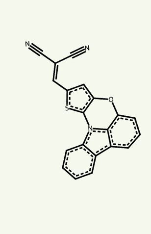 N#CC(C#N)=Cc1cc2c(s1)-n1c3ccccc3c3cccc(c31)O2